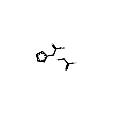 O=C(O)CC[C@@H](C(=O)O)n1cccc1